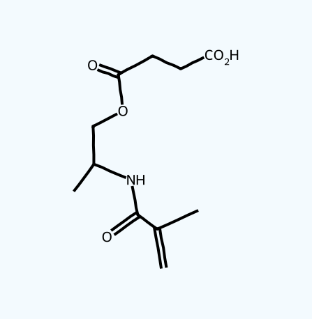 C=C(C)C(=O)NC(C)COC(=O)CCC(=O)O